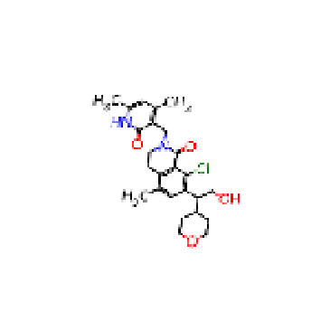 Cc1cc(C)c(CN2CCc3c(C)cc(C(CO)C4CCOCC4)c(Cl)c3C2=O)c(=O)[nH]1